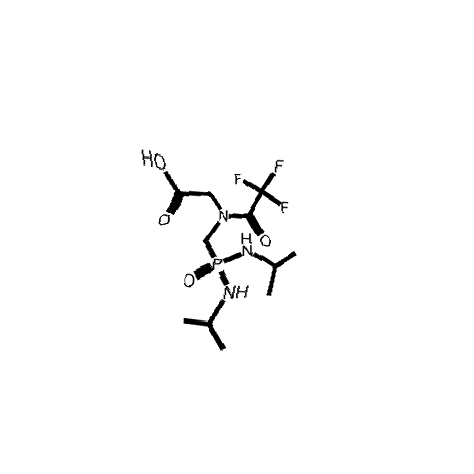 CC(C)NP(=O)(CN(CC(=O)O)C(=O)C(F)(F)F)NC(C)C